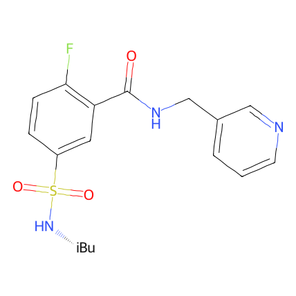 CC[C@@H](C)NS(=O)(=O)c1ccc(F)c(C(=O)NCc2cccnc2)c1